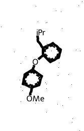 COc1ccc(Oc2ccccc2CC(C)C)cc1